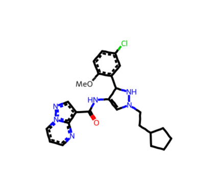 COc1ccc(Cl)cc1C1NN(CCC2CCCC2)C=C1NC(=O)c1cnn2cccnc12